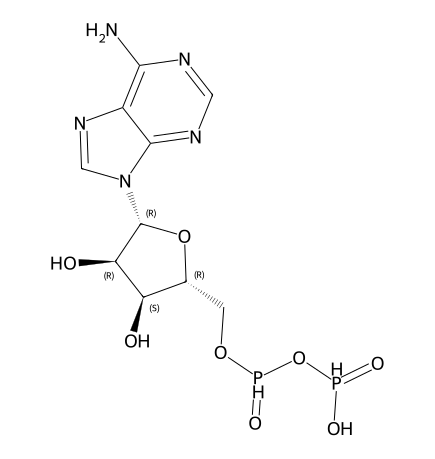 Nc1ncnc2c1ncn2[C@@H]1O[C@H](CO[PH](=O)O[PH](=O)O)[C@@H](O)[C@H]1O